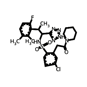 Cc1ccc(F)c(C(C)C(NS(=O)(=O)c2ccc(Cl)cc2CC(=O)N2CCCCC2)c2nn[nH]n2)c1C